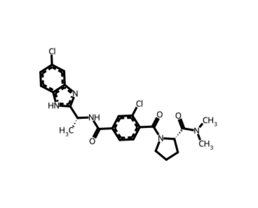 C[C@@H](NC(=O)c1ccc(C(=O)N2CCC[C@H]2C(=O)N(C)C)c(Cl)c1)c1nc2cc(Cl)ccc2[nH]1